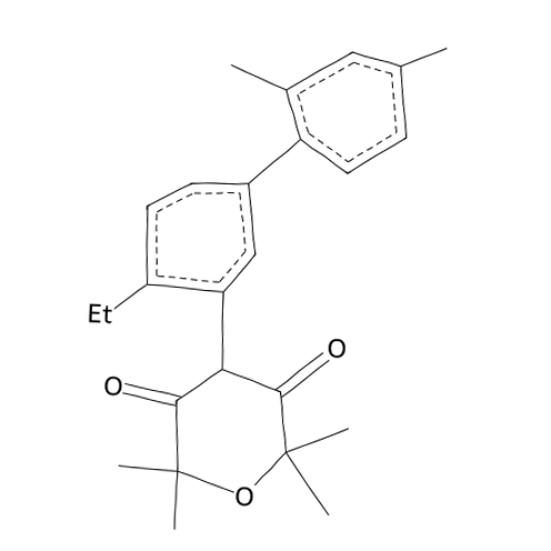 CCc1ccc(-c2ccc(C)cc2C)cc1C1C(=O)C(C)(C)OC(C)(C)C1=O